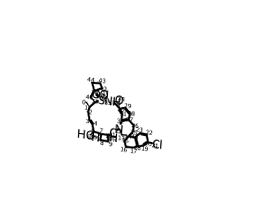 C[C@@H]1C/C=C/[C@H](O)[C@@H]2CC[C@H]2CN2C[C@@]3(CCCc4cc(Cl)ccc43)CCc3ccc(cc32)C(=O)NS(=O)(=O)[C@@H]1CC1CCC1